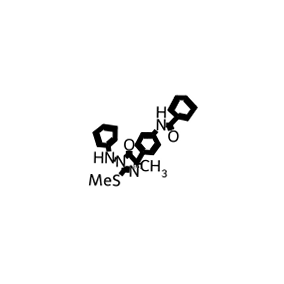 CSC1=N[C@](C)(c2ccc(NC(=O)c3ccccc3)cc2)C(=O)N1Nc1ccccc1